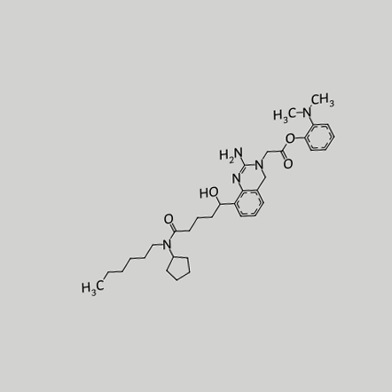 CCCCCCN(C(=O)CCCC(O)c1cccc2c1N=C(N)N(CC(=O)Oc1ccccc1N(C)C)C2)C1CCCC1